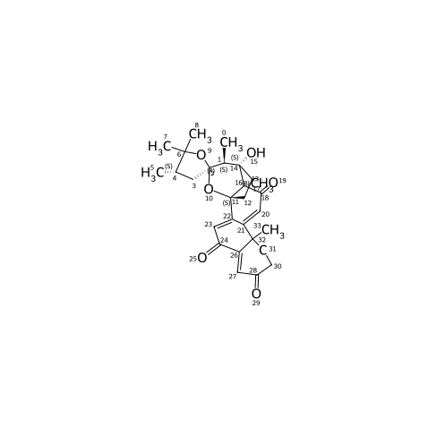 C[C@@H]1[C@@]2(C[C@H](C)C(C)(C)O2)O[C@]23CC[C@@]1(O)[C@@]2(C)C(=O)C=C1C3=CC(=O)C2=CC(=O)CCC21C